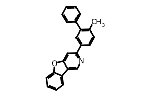 Cc1ccc(-c2cc3oc4ccccc4c3cn2)cc1-c1ccccc1